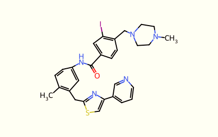 Cc1ccc(NC(=O)c2ccc(CN3CCN(C)CC3)c(I)c2)cc1Cc1nc(-c2cccnc2)cs1